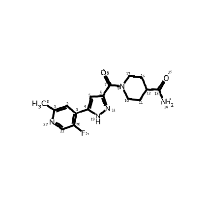 Cc1cc(-c2cc(C(=O)N3CCC(C(N)=O)CC3)n[nH]2)c(F)cn1